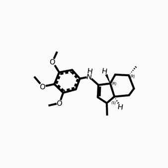 COc1cc(NC2=CC(C)[C@@H]3CC[C@@H](C)C[C@@H]23)cc(OC)c1OC